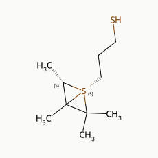 C[C@H]1C2(C)C(C)(C)[S@]12CCCS